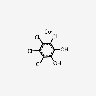 Oc1c(O)c(Cl)c(Cl)c(Cl)c1Cl.[Co]